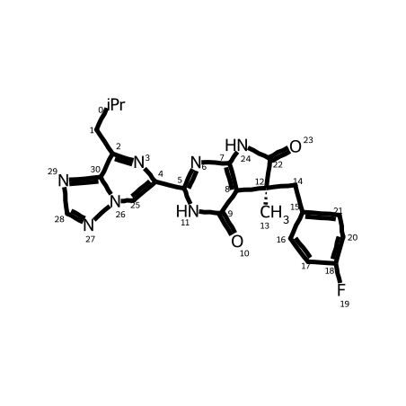 CC(C)Cc1nc(-c2nc3c(c(=O)[nH]2)[C@](C)(Cc2ccc(F)cc2)C(=O)N3)cn2ncnc12